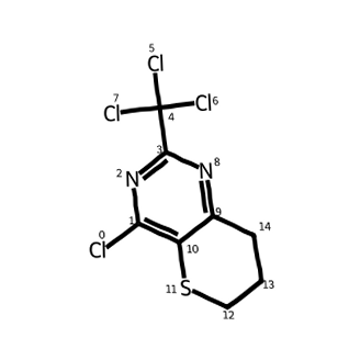 Clc1nc(C(Cl)(Cl)Cl)nc2c1SCCC2